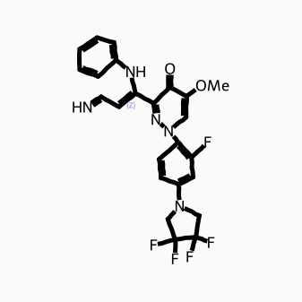 COc1cn(-c2ccc(N3CC(F)(F)C(F)(F)C3)cc2F)nc(/C(=C/C=N)Nc2ccccc2)c1=O